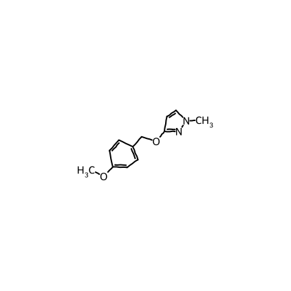 COc1ccc(COc2ccn(C)n2)cc1